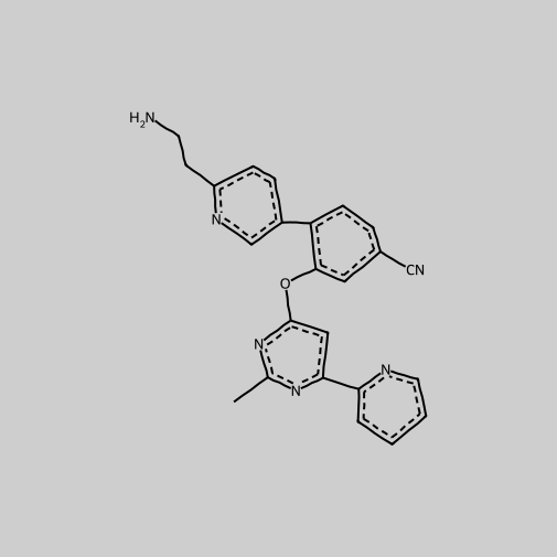 Cc1nc(Oc2cc(C#N)ccc2-c2ccc(CCN)nc2)cc(-c2ccccn2)n1